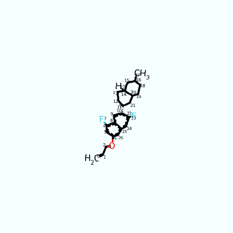 C=CCOc1cc(F)c2cc([C@@H]3CC[C@@H]4CC(C)CCC4C3)c(F)cc2c1